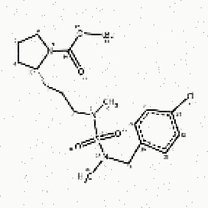 CN(CCC[C@@H]1CCCN1C(=O)OC(C)(C)C)S(=O)(=O)N(C)Cc1ccc(Cl)cc1